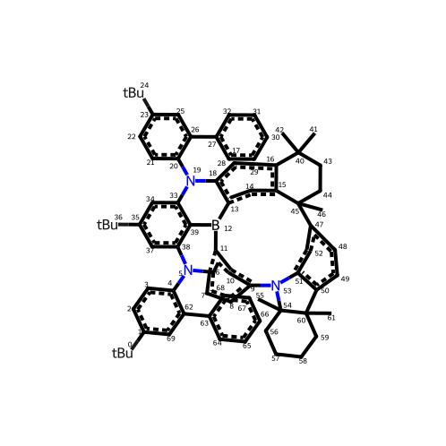 CC(C)(C)c1ccc(N2c3ccc4cc3B3c5cc6c(cc5N(c5ccc(C(C)(C)C)cc5-c5ccccc5)c5cc(C(C)(C)C)cc2c53)C(C)(C)CCC6(C)c2ccc3c(c2)N4C2(C)CCCCC32C)c(-c2ccccc2)c1